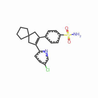 NS(=O)(=O)c1ccc(C2=C(c3ccc(Cl)cn3)CC3(CCCC3)C2)cc1